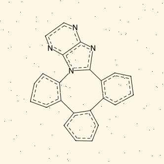 c1ccc2c(c1)-c1ccccc1-c1nc3nccnc3n1-c1ccccc1-2